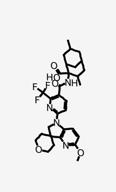 COc1ccc2c(n1)C1(CCOCC1)CN2c1ccc(C(=O)NC2(C(=O)O)C(C)CC3CC(C)CC2C3)c(C(F)(F)F)n1